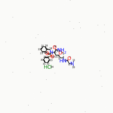 COC(CCNC(=O)CN(C)C)CC(C(N)=O)N(Cc1ccccc1)S(=O)(=O)c1ccccc1.Cl